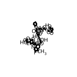 CC[C@@]1(O)C(=O)OCc2c1cc1n(c2=O)Cc2c-1nc1cc(F)c(C)c3c1c2[C@@H](NC(=O)[C@@H](O)OCNC(=O)CNC(=O)[C@H](Cc1ccccc1)NC(=O)CNC(=O)CNC(=O)N1C(=O)C=CC1=O)CC3